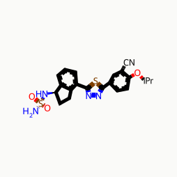 CC(C)Oc1ccc(-c2nnc(-c3cccc4c3CC[C@H]4NS(N)(=O)=O)s2)cc1C#N